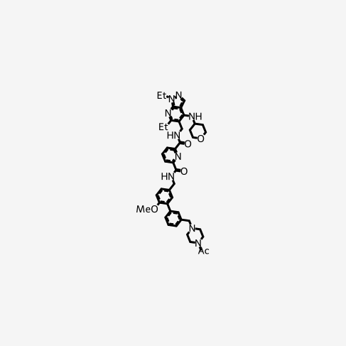 CCc1nc2c(cnn2CC)c(NC2CCOCC2)c1CNC(=O)c1cccc(C(=O)NCc2ccc(OC)c(-c3cccc(CN4CCN(C(C)=O)CC4)c3)c2)n1